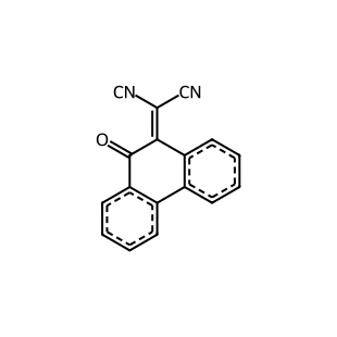 [C-]#[N+]/C(C#N)=C1\C(=O)c2ccccc2-c2ccccc21